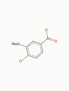 COc1cc(C(=O)Cl)ccc1Cl